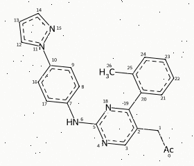 CC(=O)Cc1cnc(Nc2ccc(-n3cccn3)cc2)nc1-c1ccccc1C